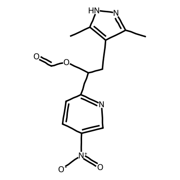 Cc1n[nH]c(C)c1CC(OC=O)c1ccc([N+](=O)[O-])cn1